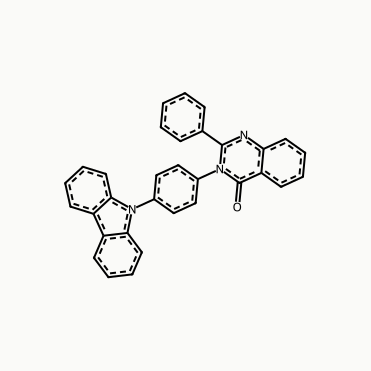 O=c1c2ccccc2nc(-c2ccccc2)n1-c1ccc(-n2c3ccccc3c3ccccc32)cc1